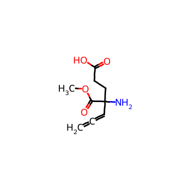 C=C=CC(N)(CCC(=O)O)C(=O)OC